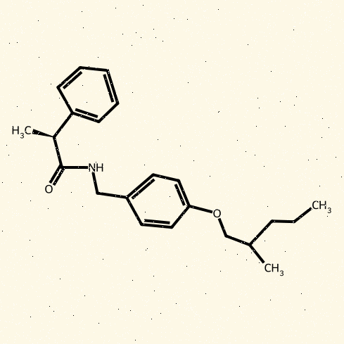 CCCC(C)COc1ccc(CNC(=O)[C@@H](C)c2ccccc2)cc1